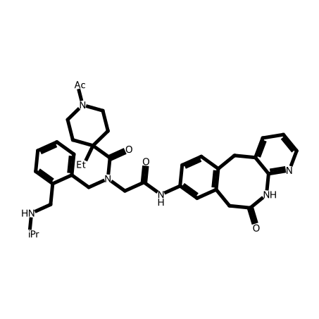 CCC1(C(=O)N(CC(=O)Nc2ccc3c(c2)CC(=O)Nc2ncccc2C3)Cc2ccccc2CNC(C)C)CCN(C(C)=O)CC1